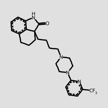 O=C1Nc2cccc3c2C1(CCCCN1CCN(c2cccc(C(F)(F)F)n2)CC1)CCC3